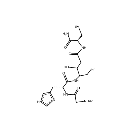 CC(=O)NCC(=O)N[C@H](Cc1c[nH]cn1)C(=O)NC(CC(C)C)C(O)CC(=O)N[C@H](CC(C)C)C(N)=O